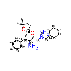 CC(C)(C)O[Si](C)(C)O[C@H](CN(N)CC1CCCCC1)[C@H](N)Cc1ccccc1